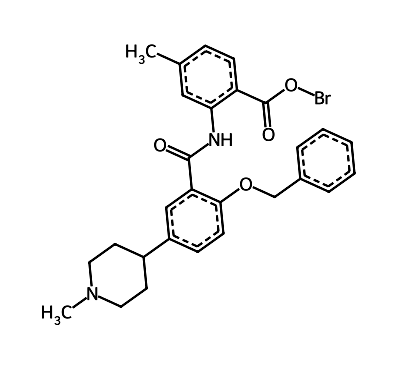 Cc1ccc(C(=O)OBr)c(NC(=O)c2cc(C3CCN(C)CC3)ccc2OCc2ccccc2)c1